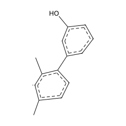 Cc1[c]c(C)c(-c2cccc(O)c2)cc1